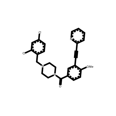 COc1ccc(C(=O)N2CCN(Cc3ccc(Cl)cc3Cl)CC2)cc1C#Cc1ccccn1